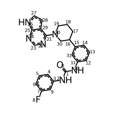 O=C(Nc1cccc(F)c1)Nc1cccc(C2CCCN(c3ncnc4[nH]ccc34)C2)c1